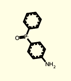 Nc1ccc([P](=O)c2ccccc2)cc1